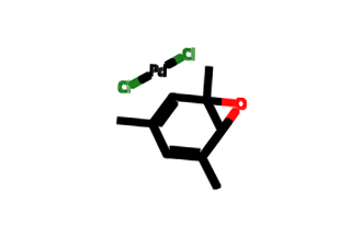 CC1=CC2(C)OC2C(C)=C1.[Cl][Pd][Cl]